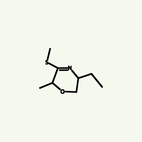 CCC1COC(C)C(SC)=N1